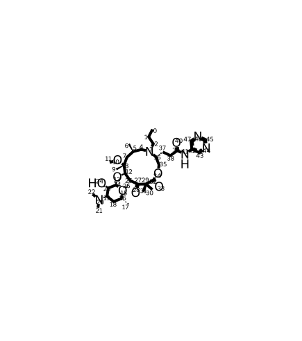 CCCN1C[C@H](C)C[C@@](C)(OC)[C@H](O[C@@H]2O[C@H](C)C[C@H](N(C)C)[C@H]2O)[C@@H](C)C(=O)C(C)(C)C(=O)OC[C@H]1CCC(=O)Nc1cncnc1